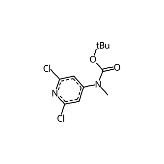 CN(C(=O)OC(C)(C)C)c1cc(Cl)nc(Cl)c1